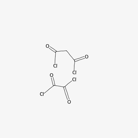 O=C(Cl)C(=O)Cl.O=C(Cl)CC(=O)Cl